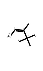 CC(=O)C=C(C)C(C)(C)C